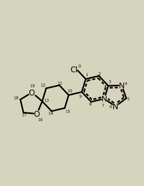 Clc1cc2ncnn2cc1C1CCC2(CC1)OCCO2